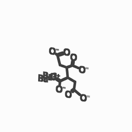 O=C([O-])CC(C(=O)[O-])C(CC(=O)[O-])C(=O)[O-].[Ba+2].[Ba+2]